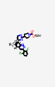 CC(C)(C)OC(=O)N1CCC(c2nccc([C@@]34CC[C@@H](c5cc(-c6c(F)cccc6F)nnc53)C4(C)C)n2)CC1